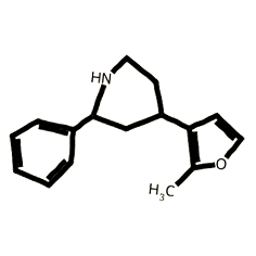 Cc1occc1C1CCNC(c2ccccc2)C1